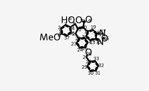 COc1ccc(C2(O)OC(=O)C(c3ccc4nonc4c3)=C2Cc2ccc(OCc3ccccc3)cc2)cc1